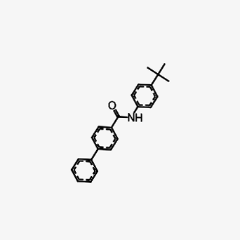 CC(C)(C)c1ccc(NC(=O)c2ccc(-c3ccccc3)cc2)cc1